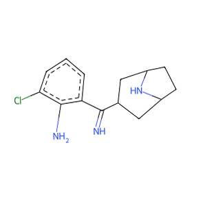 N=C(c1cccc(Cl)c1N)C1CC2CCC(C1)N2